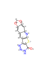 O=c1[nH]nnc2c1sc1nc3cc4c(cc3cc12)OCO4